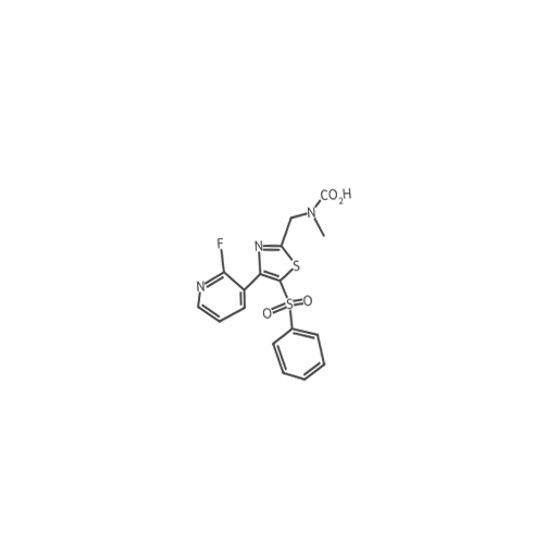 CN(Cc1nc(-c2cccnc2F)c(S(=O)(=O)c2ccccc2)s1)C(=O)O